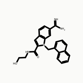 N=C(N)c1ccc2cc(C(=O)NCCO)n(Cc3cccc4ccccc34)c2c1